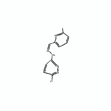 Cc1cccc(/C=N\Nc2ccc(Cl)nn2)n1